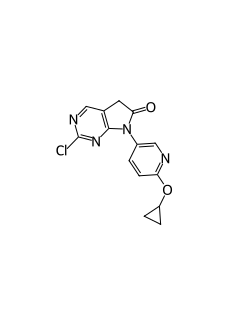 O=C1Cc2cnc(Cl)nc2N1c1ccc(OC2CC2)nc1